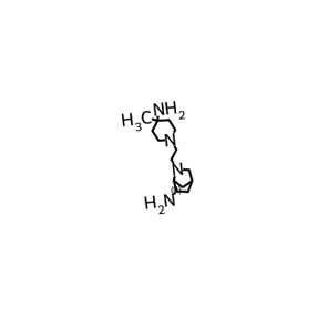 CC1(N)CCN(CCN2CC3CC2[C@H](N)C3)CC1